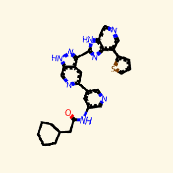 O=C(CC1CCCCC1)Nc1cncc(-c2cc3c(-c4nc5c(-c6cccs6)cncc5[nH]4)n[nH]c3cn2)c1